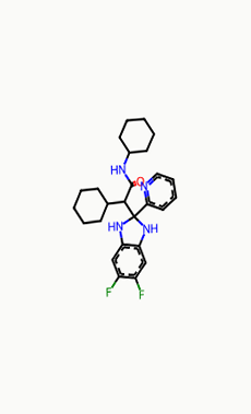 O=C(NC1CCCCC1)C(C1CCCCC1)C1(c2ccccn2)Nc2cc(F)c(F)cc2N1